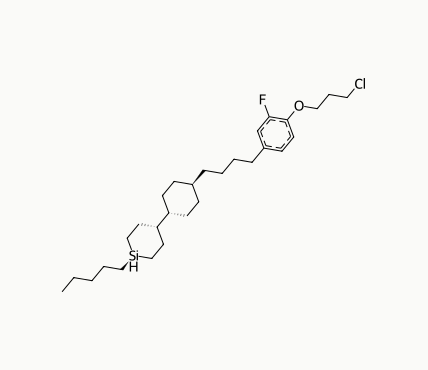 CCCCC[Si@H]1CC[C@H]([C@H]2CC[C@H](CCCCc3ccc(OCCCCl)c(F)c3)CC2)CC1